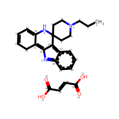 CCCN1CCC2(CC1)NC1=CC=CCC1=C1N=c3ccccc3=C12.O=C(O)C=CC(=O)O